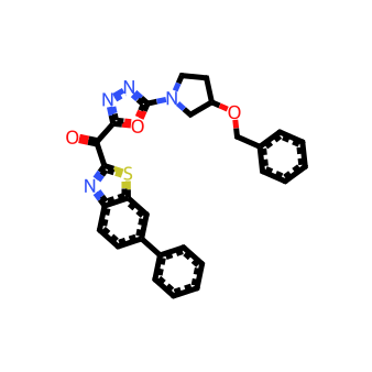 O=C(c1nnc(N2CCC(OCc3ccccc3)C2)o1)c1nc2ccc(-c3ccccc3)cc2s1